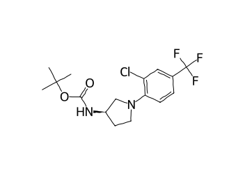 CC(C)(C)OC(=O)N[C@@H]1CCN(c2ccc(C(F)(F)F)cc2Cl)C1